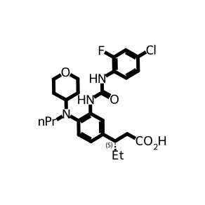 CCCN(c1ccc([C@@H](CC)CC(=O)O)cc1NC(=O)Nc1ccc(Cl)cc1F)C1CCOCC1